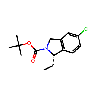 CC[C@H]1c2ccc(Cl)cc2CN1C(=O)OC(C)(C)C